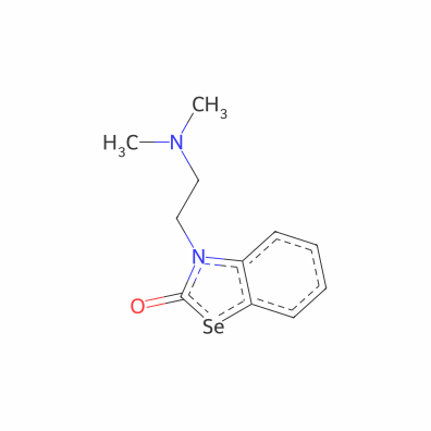 CN(C)CCn1c(=O)[se]c2ccccc21